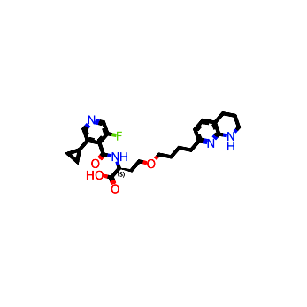 O=C(N[C@@H](CCOCCCCc1ccc2c(n1)NCCC2)C(=O)O)c1c(F)cncc1C1CC1